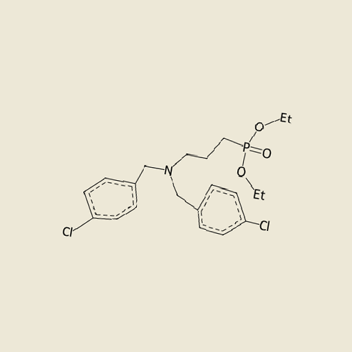 CCOP(=O)(CCCN(Cc1ccc(Cl)cc1)Cc1ccc(Cl)cc1)OCC